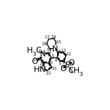 Cn1cc(-c2cc(S(C)(=O)=O)ccc2N2CCCCC2)c2cc[nH]c2c1=O